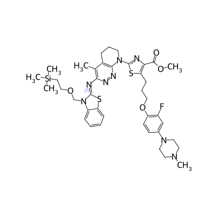 COC(=O)c1nc(N2CCCc3c2nnc(/N=c2\sc4ccccc4n2COCC[Si](C)(C)C)c3C)sc1CCCOc1ccc(N2CCN(C)CC2)cc1F